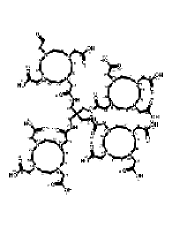 O=CCN1CCN(CC(=O)O)CCN(CC(=O)NCC(CNC(=O)CN2CCN(CC(=O)O)CCN(CC(=O)O)CCN(CC(=O)O)CC2)(CNC(=O)CN2CCN(CC(=O)O)CCN(CC(=O)O)CCN(CC(=O)O)CC2)CNC(=O)CN2CCN(CC(=O)O)CCN(CC(=O)O)CCN(CC(=O)O)CC2)CCN(CC(=O)O)CC1